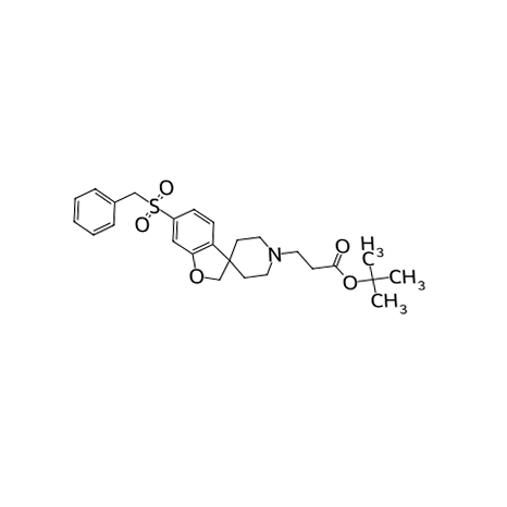 CC(C)(C)OC(=O)CCN1CCC2(CC1)COc1cc(S(=O)(=O)Cc3ccccc3)ccc12